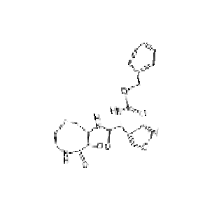 O=C(NC(C(=O)NC1CCCCNC(=O)C1=O)c1cnoc1)OCc1ccccc1